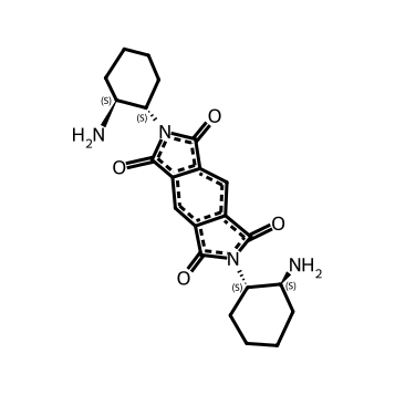 N[C@H]1CCCC[C@@H]1n1c(=O)c2cc3c(=O)n([C@H]4CCCC[C@@H]4N)c(=O)c3cc2c1=O